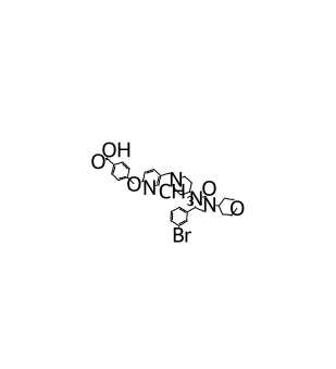 Cc1nc(Oc2ccc(C(=O)O)cc2)ccc1CN1CCC(N2C(=O)N(C3CCOCC3)CC2c2cccc(Br)c2)CC1